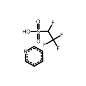 O=S(=O)(O)C(F)C(F)(F)F.c1ccncc1